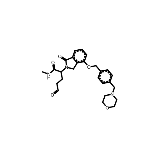 CNC(=O)C(CCC=O)N1Cc2c(OCc3ccc(CN4CCOCC4)cc3)cccc2C1=O